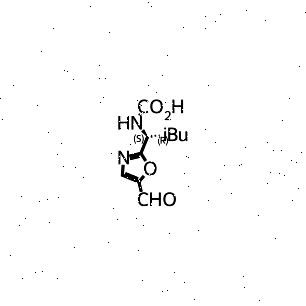 CC[C@@H](C)[C@H](NC(=O)O)c1ncc(C=O)o1